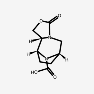 O=C1OC[C@H]2[C@H]3CC[C@@H](CN12)N3C(=O)O